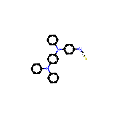 S=C=Nc1ccc(N(c2ccccc2)c2ccc(N(c3ccccc3)c3ccccc3)cc2)cc1